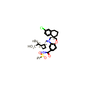 CCCC[C@H](C(=O)O)[C@@H]1CC[C@H]1CN1C[C@@]2(CCCc3cc(Cl)ccc32)COc2ccc(C(=O)NS(=O)(=O)C(C)C)cc21